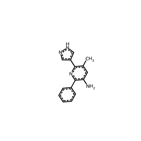 Cc1cc(N)c(-c2ccccc2)nc1-c1cn[nH]c1